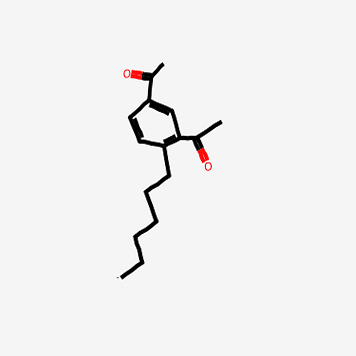 [CH2]CCCCCc1ccc(C(C)=O)cc1C(C)=O